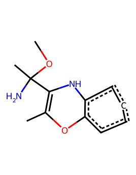 COC(C)(N)C1=C(C)Oc2ccccc2N1